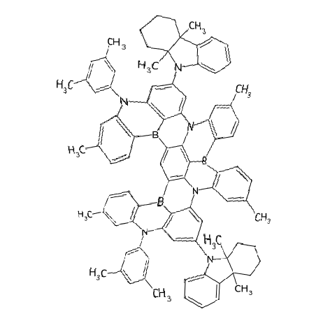 Cc1cc(C)cc(N2c3cc(C)ccc3B3c4cc5c6c7c4N(c4cc(C)ccc4B7c4ccc(C)cc4N6c4cc(N6c7ccccc7C7(C)CCCCC67C)cc6c4B5c4ccc(C)cc4N6c4cc(C)cc(C)c4)c4cc(N5c6ccccc6C6(C)CCCCC56C)cc2c43)c1